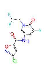 O=C(Nc1cc(F)c(=O)n(CC(F)F)c1)c1cc(Cl)no1